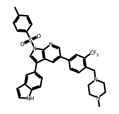 Cc1ccc(S(=O)(=O)n2cc(-c3ccc4[nH]ccc4c3)c3cc(-c4ccc(CN5CCN(C)CC5)c(C(F)(F)F)c4)cnc32)cc1